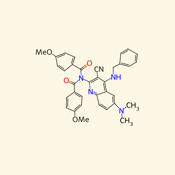 COc1ccc(C(=O)N(C(=O)c2ccc(OC)cc2)c2nc3ccc(N(C)C)cc3c(NCc3ccccc3)c2C#N)cc1